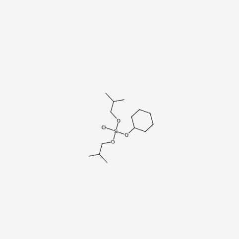 CC(C)CO[Si](Cl)(OCC(C)C)OC1CCCCC1